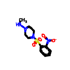 CNN1CCN(S(=O)(=O)c2ccccc2[N+](=O)[O-])CC1